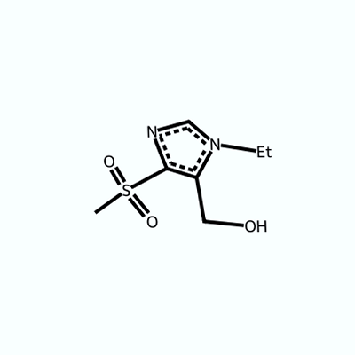 CCn1cnc(S(C)(=O)=O)c1CO